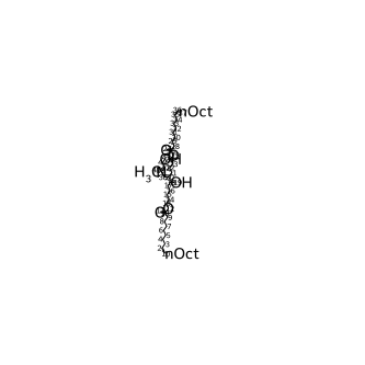 CCCCCCCC/C=C\CCCCCCCC(=O)OCCCCCC(O)C(CCCCOC(=O)CCCCCCC/C=C\CCCCCCCC)CN(C)CCO